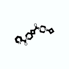 O=C(c1ccccn1)N1CCC2(CC1)CC(C(=O)N1CCN(C3CCC3)CC1)C2